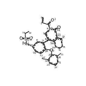 C=CC(=O)n1cc(-c2cc(NS(=O)(=O)CC)ccc2Oc2c(C)cccc2C)c2ccccc2c1=O